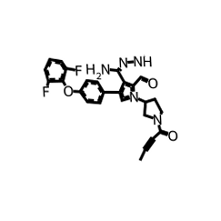 CC#CC(=O)N1CCC(n2cc(-c3ccc(Oc4c(F)cccc4F)cc3)c(/C(N)=N\NC)c2C=O)C1